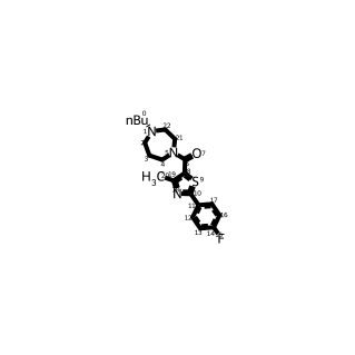 CCCCN1CCCN(C(=O)c2sc(-c3ccc(F)cc3)nc2C)CC1